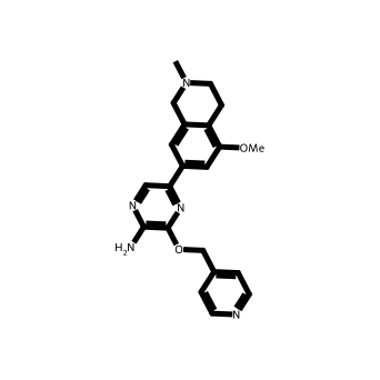 COc1cc(-c2cnc(N)c(OCc3ccncc3)n2)cc2c1CCN(C)C2